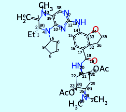 C=C1[C@@H](CC)N(C2CCCC2)c2nc(Nc3ccc(C(=O)N[C@@H]4C[C@@H](OC(C)=O)[C@H](N(C)C)C[C@H]4OC(C)=O)c4c3OCC4)ncc2N1C